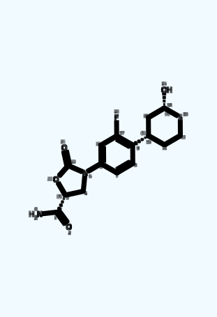 NC(=O)[C@H]1CN(c2ccc([C@H]3CCS[C@@H](O)C3)c(F)c2)C(=O)O1